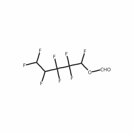 O=COC(F)C(F)(F)C(F)(F)C(F)C(F)F